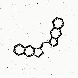 C1=N/C(=C\c2[nH]cc3cc4ccccc4cc23)c2cc3ccccc3cc21